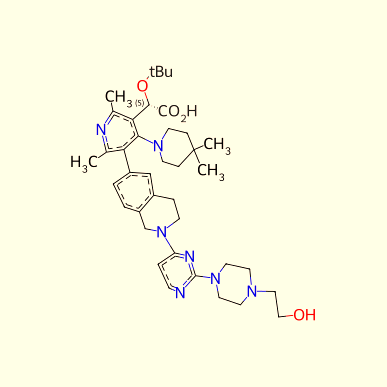 Cc1nc(C)c([C@H](OC(C)(C)C)C(=O)O)c(N2CCC(C)(C)CC2)c1-c1ccc2c(c1)CCN(c1ccnc(N3CCN(CCO)CC3)n1)C2